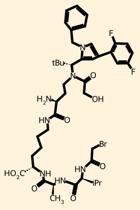 CC(C)[C@H](NC(=O)CBr)C(=O)N[C@@H](C)C(=O)N[C@@H](CCCCNC(=O)[C@@H](N)CCN(C(=O)CO)[C@@H](c1cc(-c2cc(F)ccc2F)cn1Cc1ccccc1)C(C)(C)C)C(=O)O